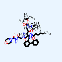 CCCCCC(=O)N[C@](Cc1ccccc1-c1ccccc1)(C(=O)NCC(=O)NC(=O)N1CCOCC1)[C@@H](C)C(CNC(=O)OC(C)(C)C)O[Si](C)(C)C(C)(C)C